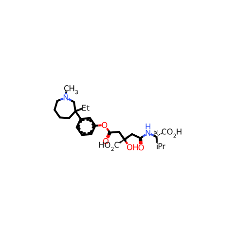 CCC1(c2cccc(OC(=O)C[C@@](O)(CC(=O)N[C@H](C(=O)O)C(C)C)C(=O)O)c2)CCCCN(C)C1